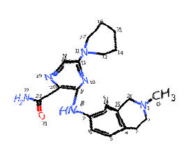 CN1CCc2ccc(Nc3nc(N4CCCCC4)cnc3C(N)=O)cc2C1